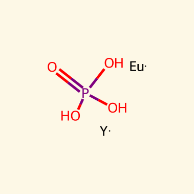 O=P(O)(O)O.[Eu].[Y]